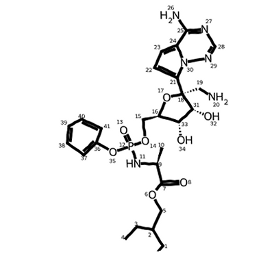 CCC(CC)COC(=O)[C@H](C)NP(=O)(OC[C@H]1O[C@@](CN)(c2ccc3c(N)ncnn23)[C@H](O)[C@@H]1O)Oc1ccccc1